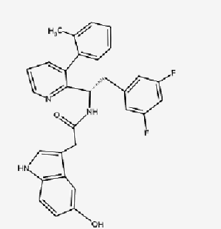 Cc1ccccc1-c1cccnc1[C@H](Cc1cc(F)cc(F)c1)NC(=O)Cc1c[nH]c2ccc(O)cc12